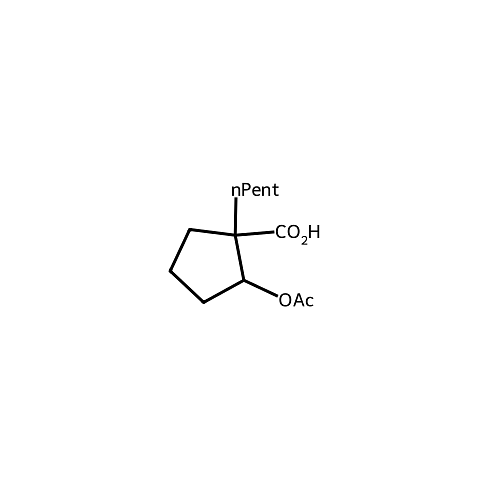 CCCCCC1(C(=O)O)CCCC1OC(C)=O